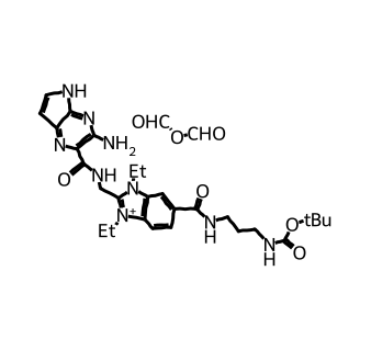 CCn1c(CNC(=O)c2nc3cc[nH]c3nc2N)[n+](CC)c2ccc(C(=O)NCCCNC(=O)OC(C)(C)C)cc21.O=COC=O